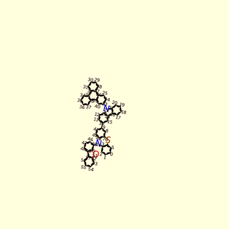 c1ccc2c(c1)Sc1cc(-c3ccc4c(c3)c3ccccc3n4-c3ccc4c5ccccc5c5ccccc5c4c3)ccc1N2c1cccc2c1oc1ccccc12